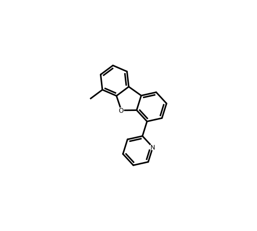 Cc1cccc2c1oc1c(-c3ccccn3)cccc12